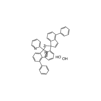 C1=C[C]([Zr][C]2(c3ccccn3)C=Cc3c(-c4ccccc4)cccc32)(c2ccccn2)c2cccc(-c3ccccc3)c21.Cl.Cl